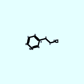 ClCCc1[c]nccc1